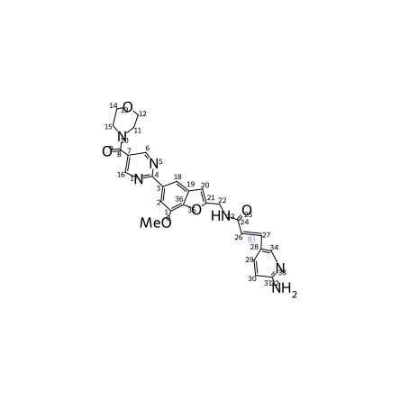 COc1cc(-c2ncc(C(=O)N3CCOCC3)cn2)cc2cc(CNC(=O)/C=C/c3ccc(N)nc3)oc12